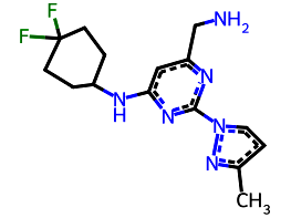 Cc1ccn(-c2nc(CN)cc(NC3CCC(F)(F)CC3)n2)n1